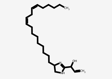 C=CC(O)C1=NC(CCCCCCCC/C=C\C/C=C\CCCCC)CN1